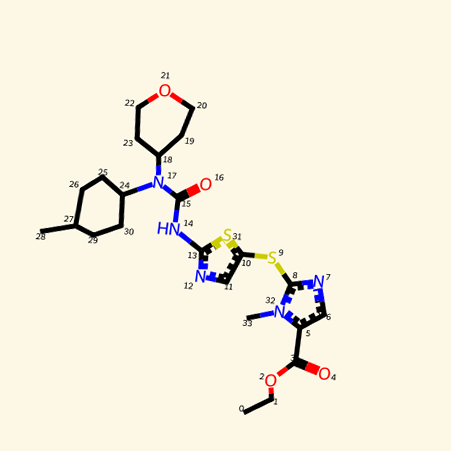 CCOC(=O)c1cnc(Sc2cnc(NC(=O)N(C3CCOCC3)C3CCC(C)CC3)s2)n1C